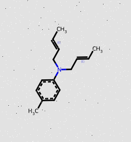 C/C=C/CN(C/C=C/C)c1ccc(C)cc1